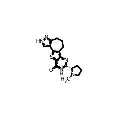 CN1CCC[C@H]1c1nc2c3c(sc2c(=O)[nH]1)-c1c[nH]nc1CCC3